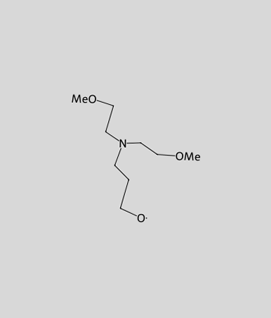 COCCN(CCC[O])CCOC